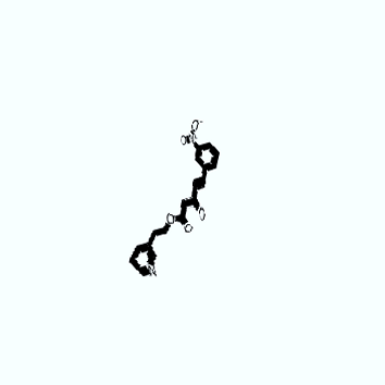 O=C(C=Cc1cccc([N+](=O)[O-])c1)CC(=O)OCCc1cccnc1